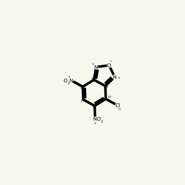 O=[N+]([O-])c1cc([N+](=O)[O-])c2nonc2c1Cl